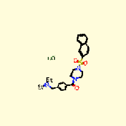 CCN(CC)Cc1ccc(C(=O)N2CCN(S(=O)(=O)c3ccc4ccccc4c3)CC2)cc1.Cl